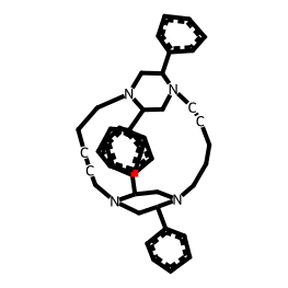 c1ccc(C2CN3CCCCCN4CC(c5ccccc5)N(CCCCCN2CC3c2ccccc2)CC4c2ccccc2)cc1